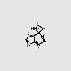 C1=NC2=NC=NC3(CCN3)C2=N1